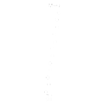 COCCOCCOCCOCCOCCOCCOCCOCCOCCOCCOCCOCCOC(=O)CS